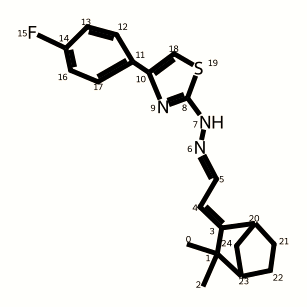 CC1(C)C(=CC=NNc2nc(-c3ccc(F)cc3)cs2)C2CCC1C2